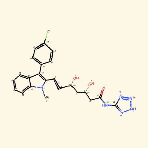 CC(C)n1c(/C=C/[C@H](O)C[C@H](O)CC(=O)Nc2nn[nH]n2)c(-c2ccc(F)cc2)c2ccccc21